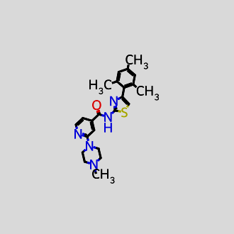 Cc1cc(C)c(-c2csc(NC(=O)c3ccnc(N4CCN(C)CC4)c3)n2)c(C)c1